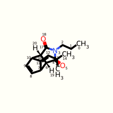 CCCN1C(=O)[C@@H]2C3C=CC(/C3=C/C(C)C)[C@@H]2C1=O